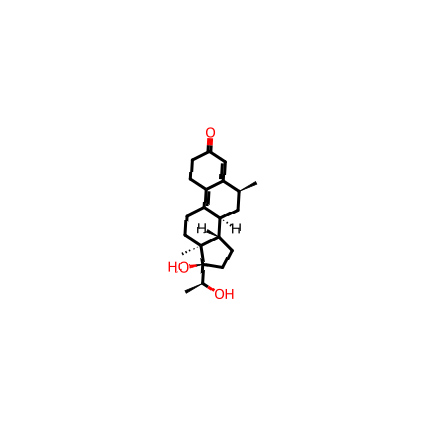 C[C@H](O)[C@@]1(O)CC[C@H]2[C@@H]3C[C@H](C)C4=CC(=O)CCC4=C3CC[C@@]21C